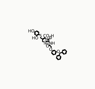 O=C(COc1cccc(OC(c2ccccc2)c2ccccc2)c1)NC1C(=O)N2C(C(=O)O)=C(CSc3ccc(O)cc3O)CS[C@@H]12